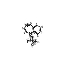 C1=CNc2ccccc2C=N1.F[B-](F)(F)F